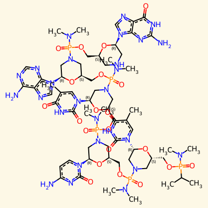 Cc1cn([C@H]2CN(P(=O)(OC[C@@H]3CN(P(=O)(OC[C@@H]4CN(P(=O)(OC[C@@H]5CN(P(=O)(OC[C@@H]6CNC[C@H](n7cnc8c(=O)[nH]c(N)nc87)O6)N(C)C)C[C@H](n6cnc7c(N)ncnc76)O5)N(C)C)C[C@H](n5cc(C)c(=O)[nH]c5=O)O4)N(C)C)C[C@H](n4ccc(N)nc4=O)O3)N(C)C)C[C@@H](COP(=O)(C(C)C)N(C)C)O2)c(=O)[nH]c1=O